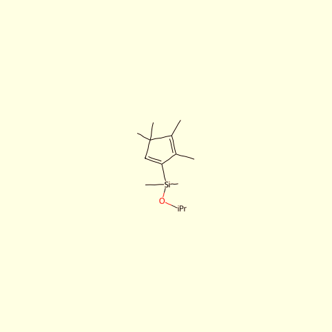 CC1=C(C)C(C)(C)C=C1[Si](C)(C)OC(C)C